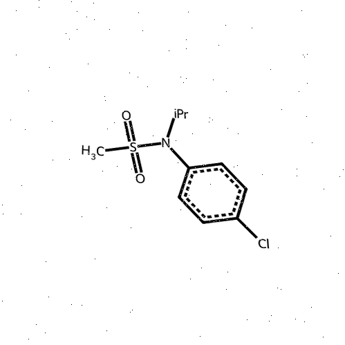 CC(C)N(c1ccc(Cl)cc1)S(C)(=O)=O